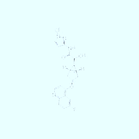 CC(C(=O)Nc1ccn(C(F)(F)F)n1)[C@H]1[C@@H]2C[C@@H](Oc3ccnc4ccc(F)cc34)C[C@@H]21